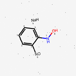 O=Nc1ccccc1NO.[NaH]